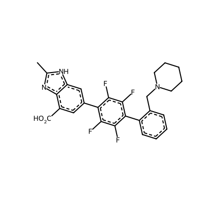 Cc1nc2c(C(=O)O)cc(-c3c(F)c(F)c(-c4ccccc4CN4CCCCC4)c(F)c3F)cc2[nH]1